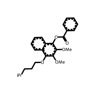 COc1c(OC)c(OC(=O)c2ccccc2)c2ccccc2c1OCCCC(C)C